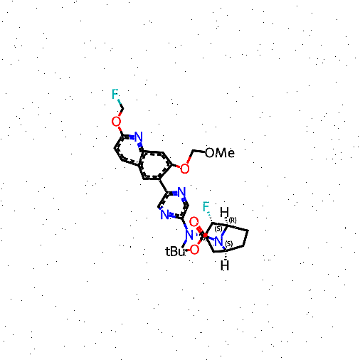 COCOc1cc2nc(OCF)ccc2cc1-c1cnc(N(C)[C@H]2C[C@@H]3CC[C@H]([C@H]2F)N3C(=O)OC(C)(C)C)cn1